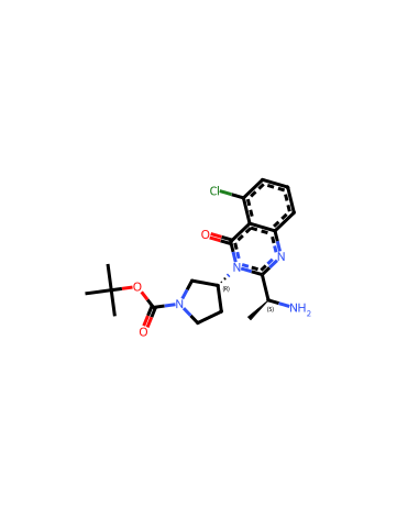 C[C@H](N)c1nc2cccc(Cl)c2c(=O)n1[C@@H]1CCN(C(=O)OC(C)(C)C)C1